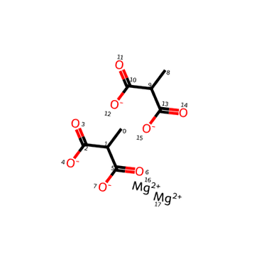 CC(C(=O)[O-])C(=O)[O-].CC(C(=O)[O-])C(=O)[O-].[Mg+2].[Mg+2]